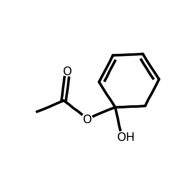 CC(=O)OC1(O)C=CC=CC1